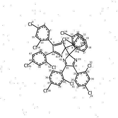 Clc1ccc(C2=NC(c3ccccc3Cl)(C3(c4ccccc4Cl)N=C(c4ccc(Cl)cc4Cl)C(c4ccc(Cl)cc4Cl)=N3)N=C2c2ccc(Cl)cc2Cl)c(Cl)c1